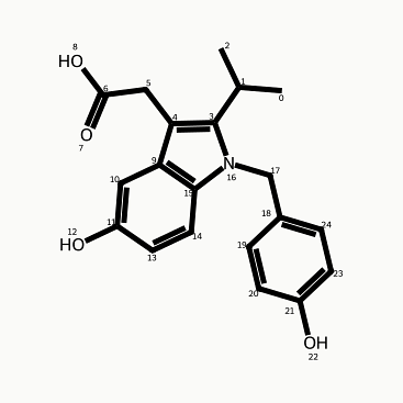 CC(C)c1c(CC(=O)O)c2cc(O)ccc2n1Cc1ccc(O)cc1